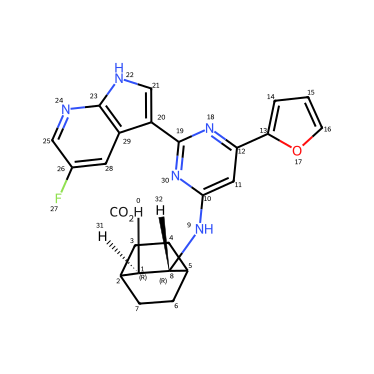 O=C(O)[C@@H]1C2CCC(CC2)[C@H]1Nc1cc(-c2ccco2)nc(-c2c[nH]c3ncc(F)cc23)n1